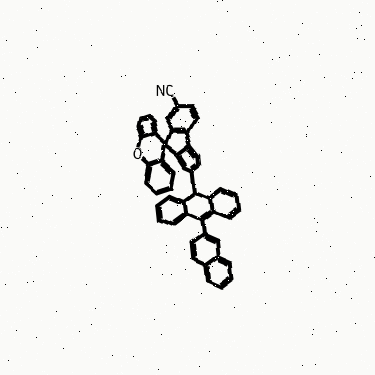 N#Cc1ccc2c(c1)C1(c3ccccc3Oc3ccccc31)c1cc(C3c4ccccc4C(c4ccc5ccccc5c4)=C4C=CC=CC43)ccc1-2